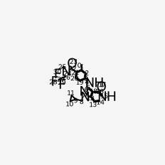 Cc1cc(Nc2nn(CC3CC3)c3cc[nH]c(=O)c23)ccc1C(=O)N(C)CC(F)(F)F